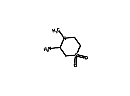 CN1CCS(=O)(=O)CC1N